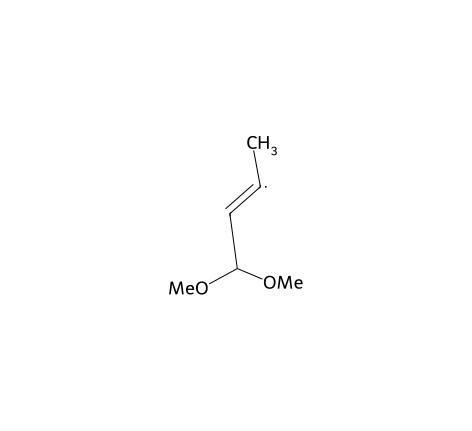 C/[C]=C/C(OC)OC